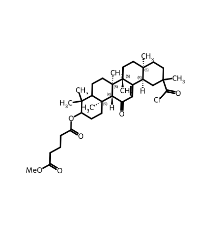 COC(=O)CCCC(=O)OC1CC[C@@]2(C)C(CC[C@]3(C)[C@@H]2C(=O)C=C2[C@@H]4CC(C)(C(=O)Cl)CC[C@]4(C)CC[C@]23C)C1(C)C